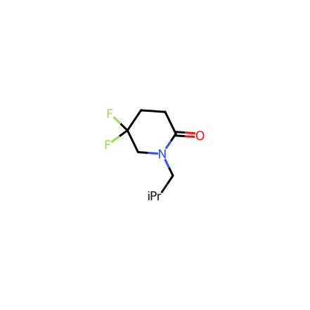 CC(C)CN1CC(F)(F)CCC1=O